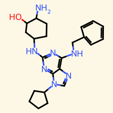 NC1CCC(Nc2nc(NCc3ccccc3)c3ncn(C4CCCC4)c3n2)CC1O